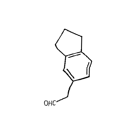 O=CCc1ccc2c(c1)CCC2